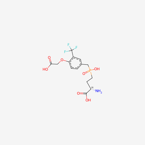 N[C@@H](CCP(=O)(O)Cc1ccc(OCC(=O)O)c(C(F)(F)F)c1)C(=O)O